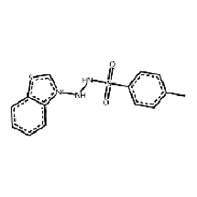 Cc1ccc(S(=O)(=O)NN[n+]2csc3ccccc32)cc1